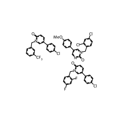 COc1ccc(-c2cnc(=O)n(Cc3ccc(Cl)cc3Cl)c2)cc1.O=c1ccc(-c2ccc(Cl)cc2)cn1Cc1ccc(F)cc1F.O=c1ccc(-c2ccc(Cl)cc2)cn1Cc1cccc(C(F)(F)F)c1